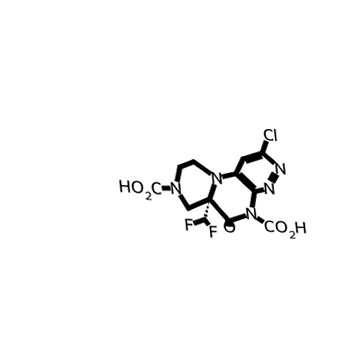 O=C(O)N1CCN2c3cc(Cl)nnc3N(C(=O)O)C(=O)[C@@]2(C(F)F)C1